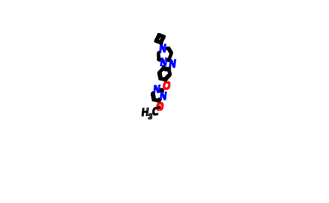 COc1ccnc(Oc2ccc3c(c2)nc2n3CCN(C3=CC=C3)CC2)n1